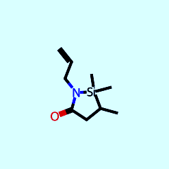 C=CCN1C(=O)CC(C)[Si]1(C)C